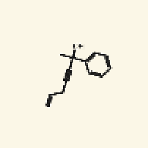 C=CCC#CC(C)(O)c1ccccc1